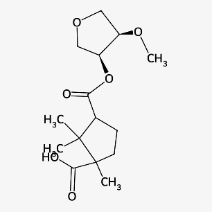 CO[C@@H]1COC[C@@H]1OC(=O)C1CCC(C)(C(=O)O)C1(C)C